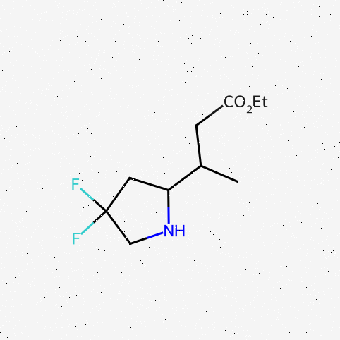 CCOC(=O)CC(C)C1CC(F)(F)CN1